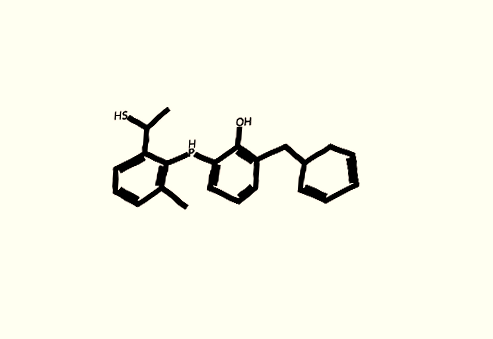 Cc1cccc(C(C)S)c1Pc1cccc(CC2C=CC=CC2)c1O